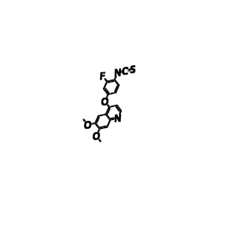 COc1cc2nccc(Oc3ccc(N=C=S)c(F)c3)c2cc1OC